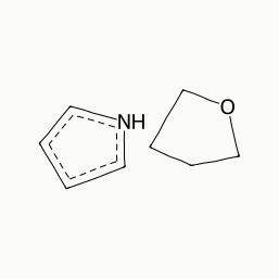 C1CCOC1.c1cc[nH]c1